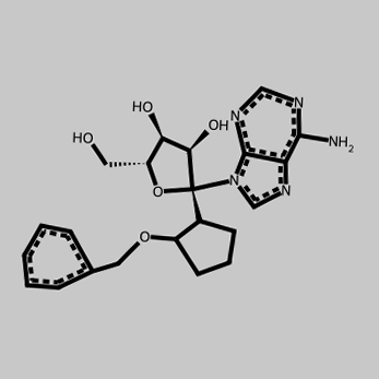 Nc1ncnc2c1ncn2[C@]1(C2CCCC2OCc2ccccc2)O[C@H](CO)[C@@H](O)[C@H]1O